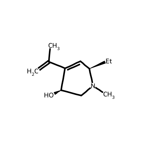 C=C(C)C1=C[C@@H](CC)N(C)C[C@H]1O